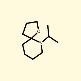 CC(C)N1CCCCC12CCCO2